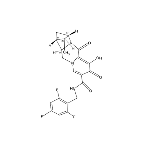 C[C@H]1[C@H]2C[C@@H]1N1C(=O)c3c(O)c(=O)c(C(=O)NCc4c(F)cc(F)cc4F)cn3C[C@@H]21